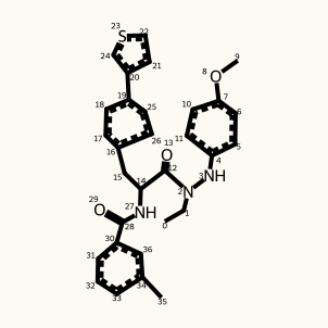 CCN(Nc1ccc(OC)cc1)C(=O)C(Cc1ccc(-c2ccsc2)cc1)NC(=O)c1cccc(C)c1